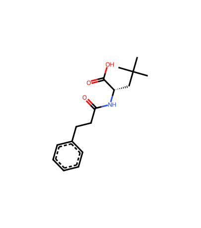 CC(C)(C)C[C@H](NC(=O)CCc1ccccc1)C(=O)O